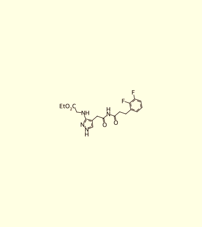 CCOC(=O)CNc1n[nH]cc1CC(=O)NC(=O)CCc1cccc(F)c1F